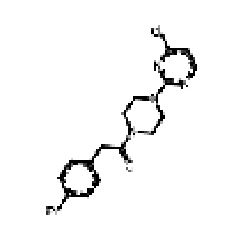 CC(C)c1ccc(CC(=O)N2CCN(c3nccc(Cl)n3)CC2)cc1